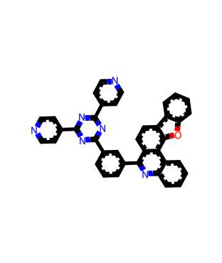 c1cc(-c2nc(-c3ccncc3)nc(-c3ccncc3)n2)cc(-c2nc3ccccc3c3c2ccc2c4ccccc4oc23)c1